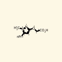 CCCc1cc(OCC(=O)O)nn1C